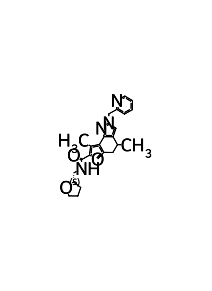 Cc1c(C(=O)NC[C@@H]2CCCO2)oc2c1-c1nn(Cc3ccccn3)cc1C(C)C2